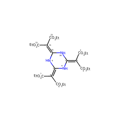 CCOC(=O)C(C(=O)OCC)=C1NC(=C(C(=O)OCC)C(=O)OCC)NC(=C(C(=O)OCC)C(=O)OCC)N1